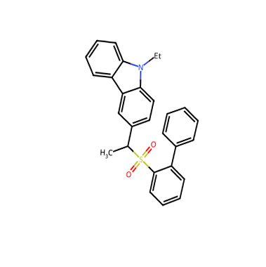 CCn1c2ccccc2c2cc(C(C)S(=O)(=O)c3ccccc3-c3ccccc3)ccc21